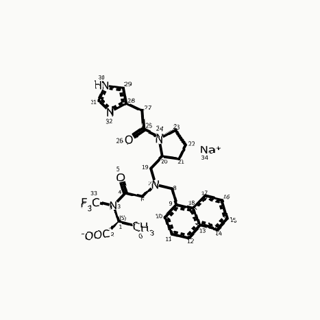 C[C@@H](C(=O)[O-])N(C(=O)CN(Cc1cccc2ccccc12)CC1CCCN1C(=O)Cc1c[nH]cn1)C(F)(F)F.[Na+]